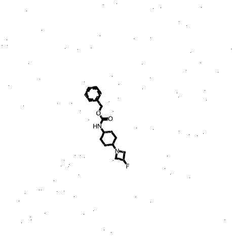 O=C(NC1CCC(N2CC(F)C2)CC1)OCc1ccccc1